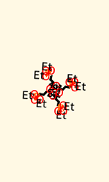 CCOP(=O)(CCC[Si]1(C)O[Si](C)(CCCP(=O)(OCC)OCC)O[Si](C)(CCCP(=O)(OCC)OCC)O[Si](C)(CCCP(=O)(OCC)OCC)O1)OCC